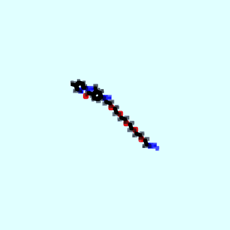 Cc1ccc(NC(=O)c2ccc(NCCOCCOCCOCCOCCOCCN)cc2C)nc1